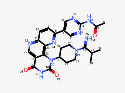 CC(=O)Nc1ncc(-c2ccc3ncc4c(=O)[nH]c(=O)n(C5CCN(C(=N)C(C)C)CC5)c4c3n2)cn1